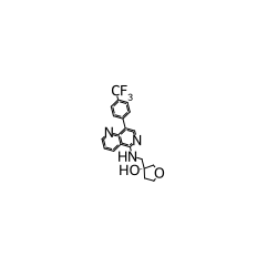 O[C@@]1(CNc2ncc(-c3ccc(C(F)(F)F)cc3)c3ncccc23)CCOC1